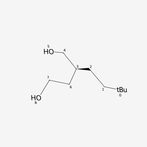 CC(C)(C)CC[C@H](CO)CCO